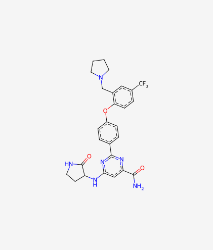 NC(=O)c1cc(NC2CCNC2=O)nc(-c2ccc(Oc3ccc(C(F)(F)F)cc3CN3CCCC3)cc2)n1